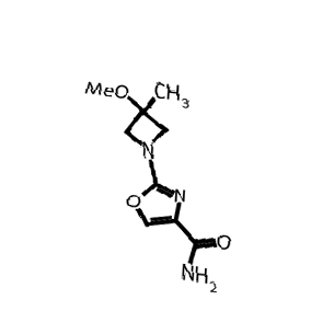 COC1(C)CN(c2nc(C(N)=O)co2)C1